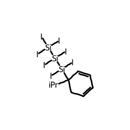 CC(C)C1([Si](I)(I)[Si](I)(I)[Si](I)(I)I)C=CC=CC1